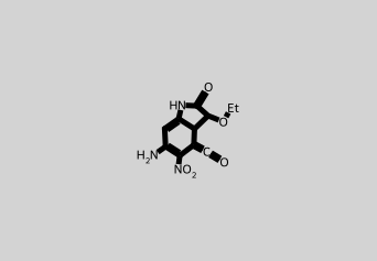 CCOC1C(=O)NC2=CC(N)=C([N+](=O)[O-])C(=C=O)C21